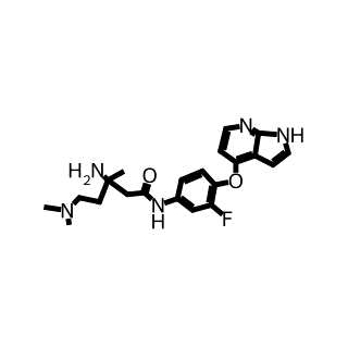 CN(C)CCC(C)(N)CC(=O)Nc1ccc(Oc2ccnc3[nH]ccc23)c(F)c1